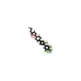 CCCC1CCC(C2CC=C(c3ccc(-c4cc(F)c(C(F)(F)F)c(F)c4)c(F)c3)CC2)OC1